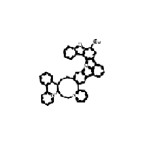 CC(C)(C)c1cc2c3cccc4c5cc6c(cc5n(c43)c2c2c1oc1ccccc12)CCC1c2ccccc2-c2cccc[n+]2C1CC[n+]1ccccc1-6